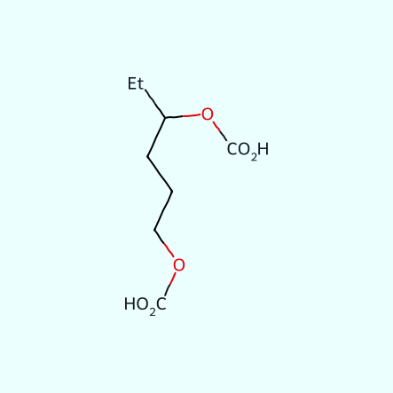 CCC(CCCOC(=O)O)OC(=O)O